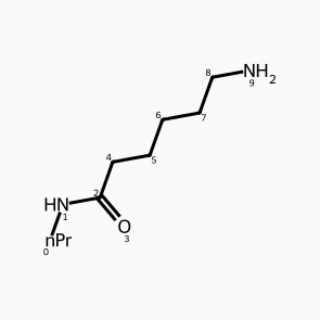 [CH2]CCNC(=O)CCCCCN